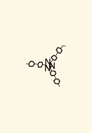 CCc1ccc(-c2ccc(-c3nc(-c4ccc(-c5ccc(C)cc5)cc4)nc(-c4ccc(-c5ccc(C)cc5)cc4)n3)cc2)cc1